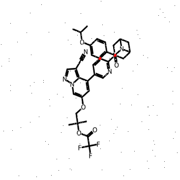 CC(C)Oc1ccc(C(=O)N2C3CC2CN(c2ccc(-c4cc(OCC(C)(C)OC(=O)C(F)(F)F)cn5ncc(C#N)c45)cn2)C3)cc1